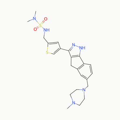 CN1CCN(Cc2ccc3c(c2)Cc2c(-c4csc(CNS(=O)(=O)N(C)C)c4)n[nH]c2-3)CC1